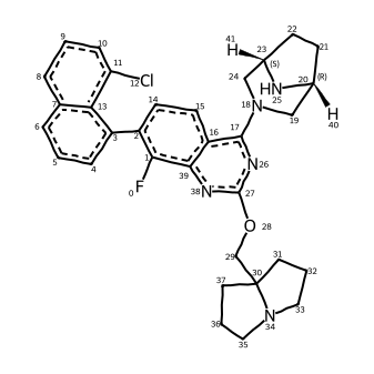 Fc1c(-c2cccc3cccc(Cl)c23)ccc2c(N3C[C@H]4CC[C@@H](C3)N4)nc(OCC34CCCN3CCC4)nc12